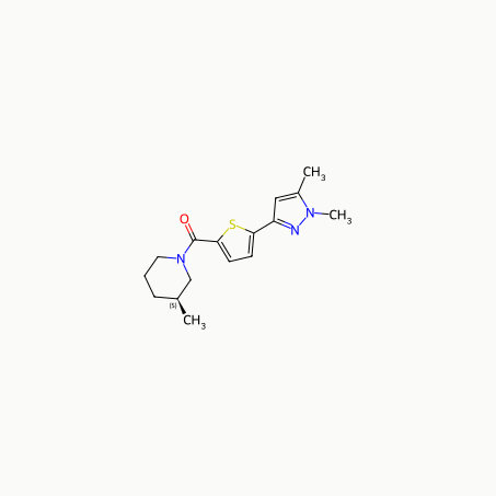 Cc1cc(-c2ccc(C(=O)N3CCC[C@H](C)C3)s2)nn1C